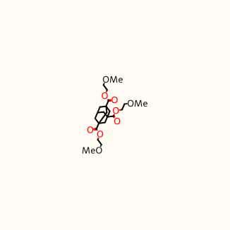 COCCOC(=O)C12CC3CC(C(=O)OCCOC)(C1)CC(C(=O)OCCOC)(C3)C2